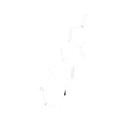 CO[C@@H]1C=C2C=C3OC(=O)C(C)=C3C[C@]2(C)[C@@H](C)[C@H]1NC(C)=O